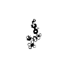 O=CN1CC=C(c2ccc(N3C(=O)OCC3CN(C(=O)OCC(Cl)(Cl)Cl)c3ccon3)cc2F)CC1